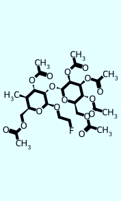 CC(=O)OC[C@@H]1O[C@H](OCCF)[C@@H](O[C@H]2O[C@H](COC(C)=O)[C@@H](OC(C)=O)[C@H](OC(C)=O)[C@@H]2OC(C)=O)[C@@H](OC(C)=O)[C@@H]1C